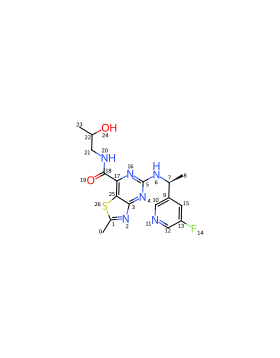 Cc1nc2nc(N[C@@H](C)c3cncc(F)c3)nc(C(=O)NCC(C)O)c2s1